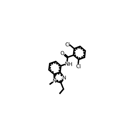 CCc1nc2c(NC(=O)c3c(Cl)cccc3Cl)cccc2n1C